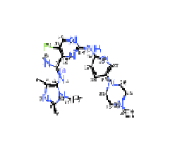 C=N/C(=N\c1c(C)nc(C)n1C(C)C)c1nc(Nc2ccc(N3CCN(CC)CC3)cn2)ncc1F